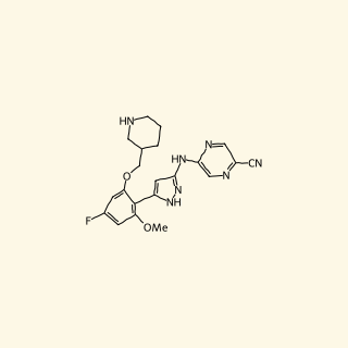 COc1cc(F)cc(OCC2CCCNC2)c1-c1cc(Nc2cnc(C#N)cn2)n[nH]1